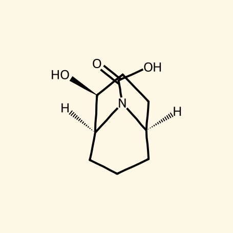 O=C(O)N1[C@@H]2CCC[C@H]1[C@@H](O)CC2